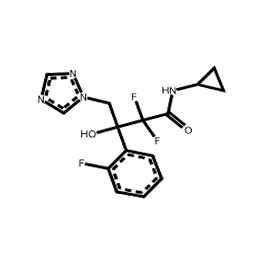 O=C(NC1CC1)C(F)(F)C(O)(Cn1cncn1)c1ccccc1F